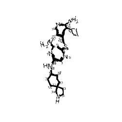 C=C(/N=C\C(=N/CN)NC1CCC2(CCNC2)CC1)Sc1ccnc(N)c1Cl